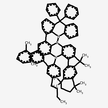 CCCCc1ccc(N2c3cc(-c4c(C)cccc4C)cc4c3B(c3ccc5c(c32)-c2cc3c(cc2C5(C)C)C(C)(C)CCC3(C)C)N2c3ccccc3C(c3ccccc3)(c3ccccc3)c3cccc-4c32)c(-c2ccccc2)c1